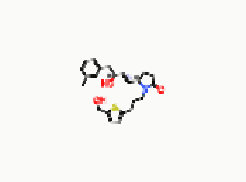 Cc1cccc(C[C@H](O)/C=C/[C@H]2CCC(=O)N2CCCc2ccc(CO)s2)c1